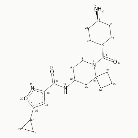 N[C@H]1CC[C@H](C(=O)N2CCC(NC(=O)c3cc(C4CC4)on3)CC23CCC3)CC1